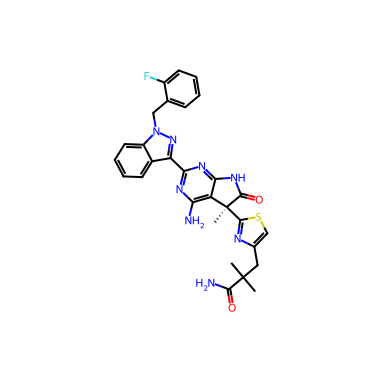 CC(C)(Cc1csc([C@]2(C)C(=O)Nc3nc(-c4nn(Cc5ccccc5F)c5ccccc45)nc(N)c32)n1)C(N)=O